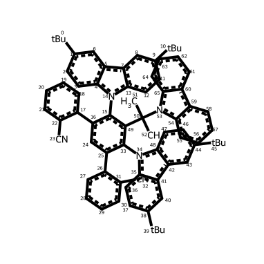 CC(C)(C)c1ccc2c(c1)c1cc(C(C)(C)C)ccc1n2-c1c(-c2ccccc2C#N)cc(-c2ccccc2C#N)c(-n2c3ccc(C(C)(C)C)cc3c3cc(C(C)(C)C)ccc32)c1C(C)(C)n1c2ccccc2c2ccccc21